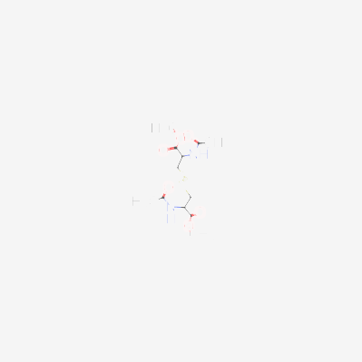 COC(=O)C(CSSCC(NC(C)=O)C(=O)OC)NC(C)=O